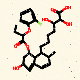 CCC(Oc1ccccc1F)C(=O)OC1CC(O)C=C2C=CC(C)C(CCCCC(O)C(O)C(=O)O)C21